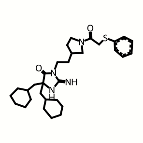 N=C1NC(CC2CCCCC2)(CC2CCCCC2)C(=O)N1CCC1CCN(C(=O)CSc2ccccc2)C1